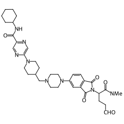 CNC(=O)C(CCC=O)N1C(=O)c2ccc(N3CCN(CC4CCN(c5cnc(C(=O)NC6CCCCC6)cn5)CC4)CC3)cc2C1=O